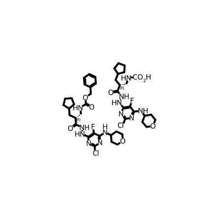 O=C(NC[C@@H](CC1CCCC1)C(=O)NNc1nc(Cl)nc(NC2CCOCC2)c1F)OCc1ccccc1.O=C(O)NC[C@@H](CC1CCCC1)C(=O)NNc1nc(Cl)nc(NC2CCOCC2)c1F